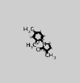 Cc1ccc(N2CCC(C)C2=O)c(C)c1